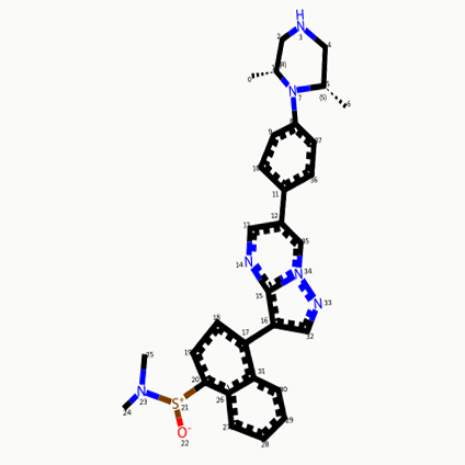 C[C@@H]1CNC[C@H](C)N1c1ccc(-c2cnc3c(-c4ccc([S+]([O-])N(C)C)c5ccccc45)cnn3c2)cc1